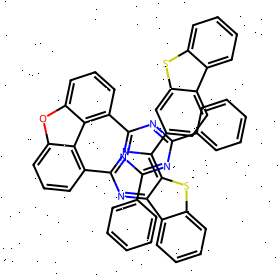 c1ccc(-c2nc(-c3ccccc3)nc(-c3cccc4oc5cccc(-c6nc(-c7ccc8c(c7)sc7ccccc78)c7sc8ccccc8c7n6)c5c34)n2)cc1